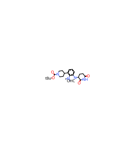 CN(C)c1c(C2CCN(C(=O)OC(C)(C)C)CC2)cccc1N(C=O)C1CCC(=O)NC1=O